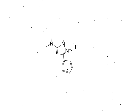 CN(C)c1cc(-c2ccccc2)[n+](C)n1C.[I-]